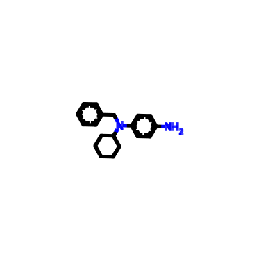 Nc1ccc(N(Cc2ccccc2)C2CCCCC2)cc1